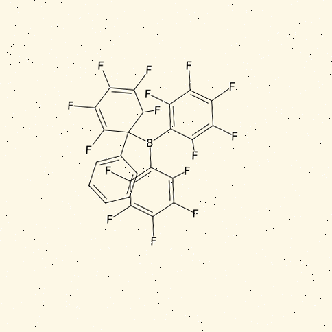 FC1=C(F)C(F)C(B(c2c(F)c(F)c(F)c(F)c2F)c2c(F)c(F)c(F)c(F)c2F)(c2ccccc2)C(F)=C1F